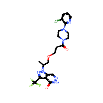 CC(COCCC(=O)N1CCN(c2ncccc2Cl)CC1)n1nc(C(F)(F)F)c2c(=O)[nH]ncc21